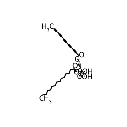 CC#CC#CC#CC#CC#CC(=O)OC[C@H](COP(=O)(O)O)OC(=O)CCCCCCCCCCCCCC